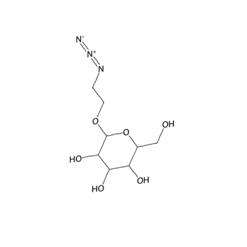 [N-]=[N+]=NCCOC1OC(CO)C(O)C(O)C1O